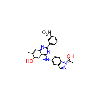 CB(O)n1ncc2cc(Nc3nc(-c4cccc([N+](=O)[O-])c4)nc4cc(C)c(O)cc34)ccc21